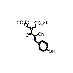 CCOC(=O)CN(CC(=O)OCC)C(=O)/C(C#N)=C/c1ccc(O)cc1